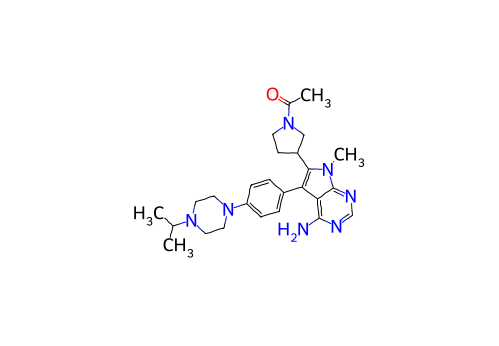 CC(=O)N1CCC(c2c(-c3ccc(N4CCN(C(C)C)CC4)cc3)c3c(N)ncnc3n2C)C1